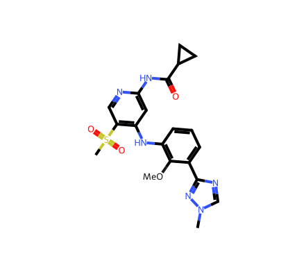 COc1c(Nc2cc(NC(=O)C3CC3)ncc2S(C)(=O)=O)cccc1-c1ncn(C)n1